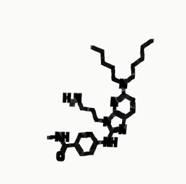 CCCCCN(CCCCC)c1ccc2nc(Nc3ccc(C(=O)NC)cc3)n(CCCN)c2n1